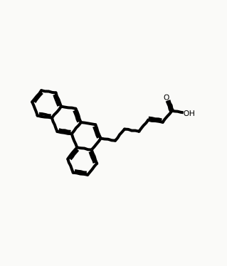 O=C(O)/C=C/CCCc1cc2cc3ccccc3cc2c2ccccc12